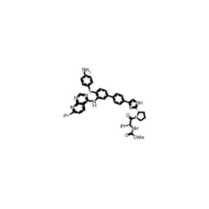 COC(=O)N[C@H](C(=O)N1CCC[C@H]1c1nc(-c2ccc(-c3ccc(Sc4ccc(N)cc4)c(Nc4ncnc5nc(C(C)C)ccc45)c3)cc2)c[nH]1)C(C)C